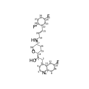 OC(Cc1ccnc2ccc(F)cc12)[C@@H]1CC[C@@H](NCC=Cc2cc(F)ccc2F)CO1